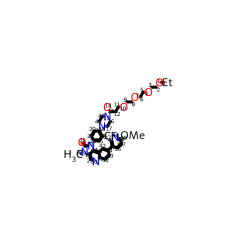 CCOCCOCCOCCOCCC(=O)N1CCN(c2ccc(-n3c(=O)n(C)c4cnc5ccc(-c6ccc(OC)nc6)cc5c43)cc2C(F)(F)F)CC1